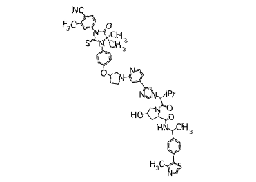 Cc1ncsc1-c1ccc(C(C)NC(=O)C2CC(O)CN2C(=O)C(C(C)C)n2cnc(-c3ccnc(N4CCC(Oc5ccc(N6C(=S)N(c7ccc(C#N)c(C(F)(F)F)c7)C(=O)C6(C)C)cc5)C4)c3)c2)cc1